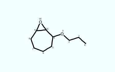 CCCOC1CCCCC2OC12